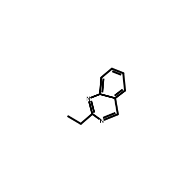 CCc1ncc2ccccc2n1